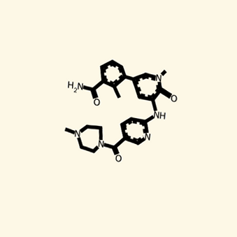 Cc1c(C(N)=O)cccc1-c1cc(Nc2ccc(C(=O)N3CCN(C)CC3)cn2)c(=O)n(C)c1